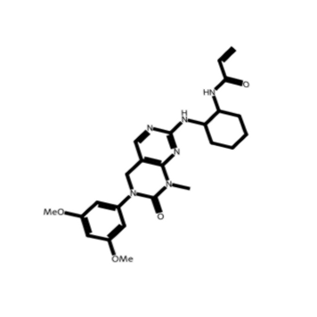 C=CC(=O)NC1CCCCC1Nc1ncc2c(n1)N(C)C(=O)N(c1cc(OC)cc(OC)c1)C2